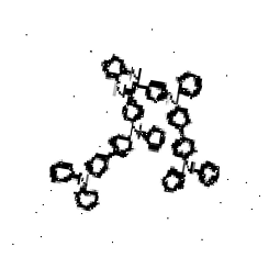 c1ccc(N(c2ccccc2)c2ccc(-c3ccc(N(c4ccccc4)c4ccc(-c5nc6ccccc6nc5-c5ccc(N(c6ccccc6)c6ccc(-c7ccc(N(c8ccccc8)c8ccccc8)cc7)cc6)cc5)cc4)cc3)cc2)cc1